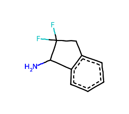 NC1c2ccccc2CC1(F)F